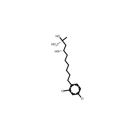 C[C@](O)(C[C@@H](O)CCCCCCc1ccc(Cl)cc1Cl)C(=O)O